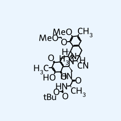 COCOc1c(OC)c(C)cc2c1[C@@H]1C3CC4=C(C(=O)C(O)=C(C)C4=O)[C@H](CNC(=O)[C@H](C)NC(=O)OC(C)(C)C)N3[C@@H](C#N)[C@@H](C2)N1C